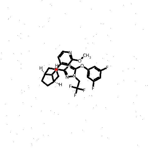 COc1cc(N2C[C@H]3CC[C@@H](C2)C3Nc2nc(Oc3cc(F)cc(F)c3)n(CC(F)(F)F)n2)ccn1